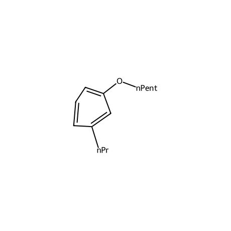 C[CH]Cc1cccc(OCCCCC)c1